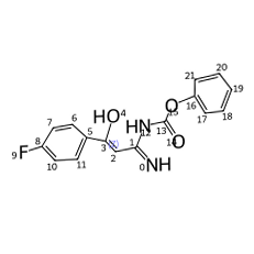 N=C(/C=C(\O)c1ccc(F)cc1)NC(=O)Oc1ccccc1